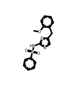 COc1ccccc1Cc1cnc(NS(=O)(=O)c2ccccc2)o1